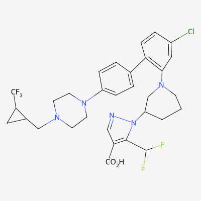 O=C(O)c1cnn(C2CCCN(c3cc(Cl)ccc3-c3ccc(N4CCN(CC5CC5C(F)(F)F)CC4)cc3)C2)c1C(F)F